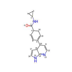 O=C(NC1CC1)C1C=CC(C2C=CN=C3NC=CC32)=CC1